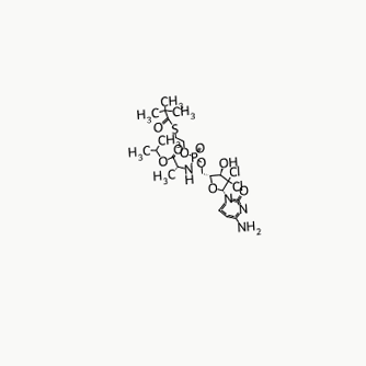 CC(C)OC(=O)[C@@H](C)N[P@](=O)(OCCSC(=O)C(C)(C)C)OC[C@H]1O[C@@H](n2ccc(N)nc2=O)C(Cl)(Cl)[C@@H]1O